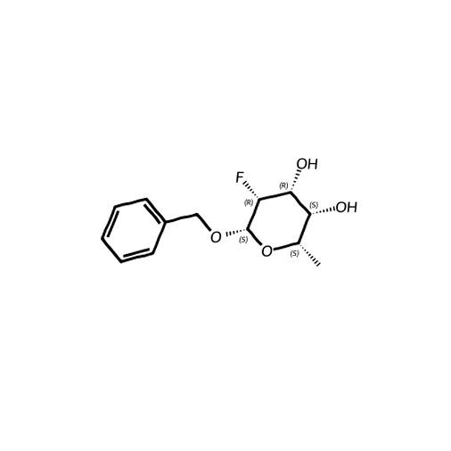 C[C@@H]1O[C@H](OCc2ccccc2)[C@H](F)[C@H](O)[C@@H]1O